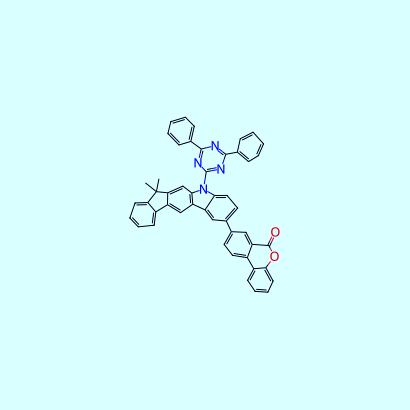 CC1(C)c2ccccc2-c2cc3c4cc(-c5ccc6c(c5)c(=O)oc5ccccc56)ccc4n(-c4nc(-c5ccccc5)nc(-c5ccccc5)n4)c3cc21